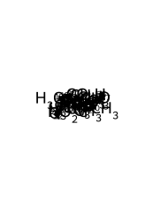 Cc1cc(C(=O)O)c(-c2c(C)c(C)c(-c3c(C(=O)O)cc(C)c(OCC4CO4)c3C)c(C)c2C)c(C)c1OCC1CO1